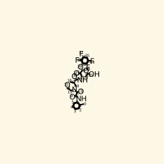 Cc1ccccc1NC(=O)C(=O)N1CCOC[C@@H](C(=O)N[C@@H](CC(=O)O)C(=O)COc2c(F)c(F)cc(F)c2F)C1